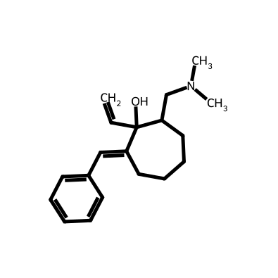 C=CC1(O)C(=Cc2ccccc2)CCCCC1CN(C)C